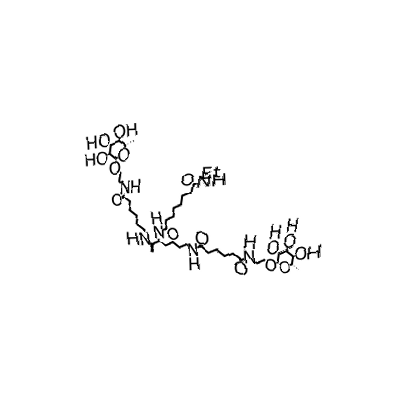 C=C(NCCCCCC(=O)NCCO[C@@H]1O[C@@H](C)[C@@H](O)[C@@H](O)[C@@H]1O)[C@H](CCCCNC(=O)CCCCC(=O)NCCO[C@@H]1O[C@@H](C)[C@@H](O)[C@@H](O)[C@@H]1O)NC(=O)CCCCCCC(=O)NCC